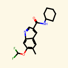 Cc1cc2cc(C(=O)NC3CCCCC3)cnc2cc1OC(F)F